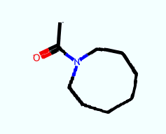 [CH2]C(=O)N1CCCCCCC1